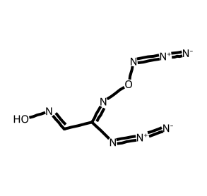 [N-]=[N+]=NON=C(C=NO)N=[N+]=[N-]